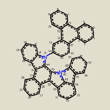 c1ccc2c(c1)c1ccccc1c1cc(-n3c4ccccc4c4c5ccccc5c5c6cccc7c8ccccc8n(c76)c5c43)ccc21